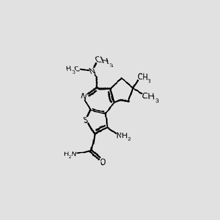 CN(C)c1nc2sc(C(N)=O)c(N)c2c2c1CC(C)(C)C2